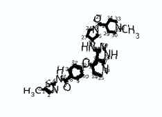 Cc1cnc(NC(=O)c2ccc(Oc3ccnc4[nH]nc(NC5CCN(C(=O)C6CCN(C)CC6)C5)c34)cc2)s1